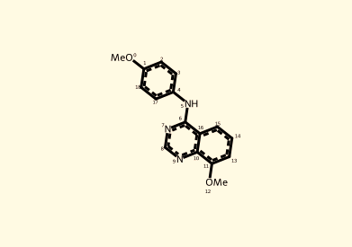 COc1ccc(Nc2ncnc3c(OC)cccc23)cc1